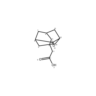 O=C(O)CC12CC3CC(C1)C(=O)C(C3)C2